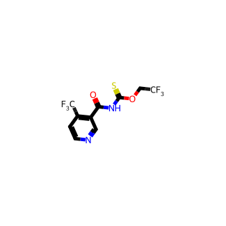 O=C(NC(=S)OCC(F)(F)F)c1cnccc1C(F)(F)F